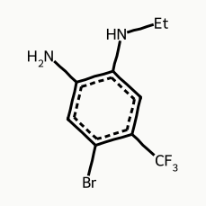 CCNc1cc(C(F)(F)F)c(Br)cc1N